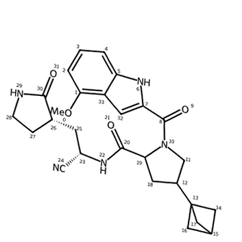 COc1cccc2[nH]c(C(=O)N3CC(C45CC(C4)C5)CC3C(=O)N[C@H](C#N)C[C@@H]3CCNC3=O)cc12